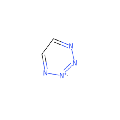 C1=NN=[N+]N=C1